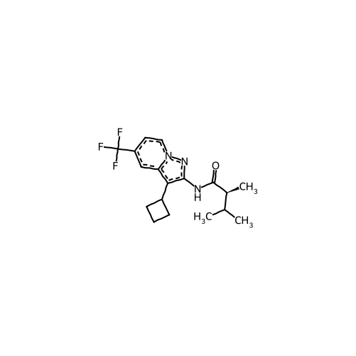 CC(C)[C@H](C)C(=O)Nc1nn2ccc(C(F)(F)F)cc2c1C1CCC1